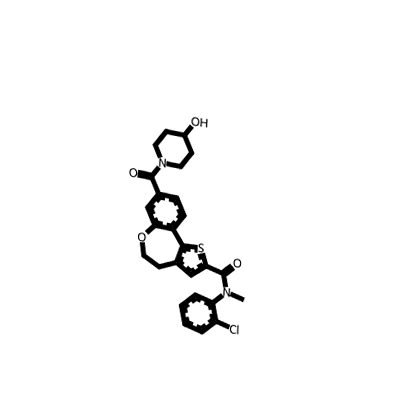 CN(C(=O)c1cc2c(s1)-c1ccc(C(=O)N3CCC(O)CC3)cc1OCC2)c1ccccc1Cl